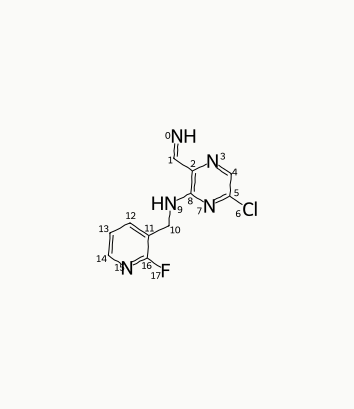 N=Cc1ncc(Cl)nc1NCc1cccnc1F